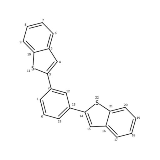 c1cc(-c2cc3ccccc3s2)cc(-c2cc3ccccc3s2)c1